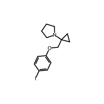 Ic1ccc(OCC2(N3CCCC3)CC2)cc1